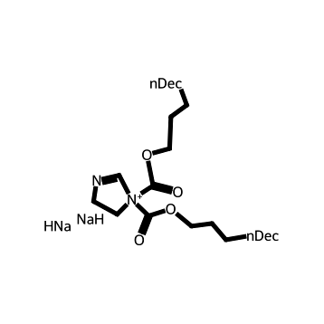 CCCCCCCCCCCCCOC(=O)[N+]1(C(=O)OCCCCCCCCCCCCC)C=NCC1.[NaH].[NaH]